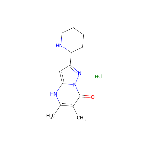 Cc1[nH]c2cc(C3CCCCN3)nn2c(=O)c1C.Cl